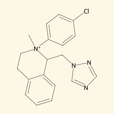 C[N+]1(c2ccc(Cl)cc2)CCc2ccccc2C1Cn1cncn1